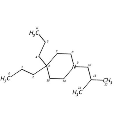 CCCC1(CCC)CCN(CC(C)C)CC1